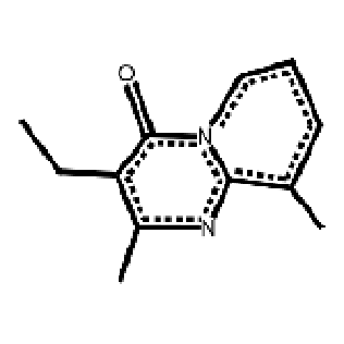 CCc1c(C)nc2c(C)cccn2c1=O